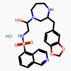 Cl.O=S(=O)(NCC(O)N1CCCNC(Cc2ccc3c(c2)OCO3)C1)c1cccc2cnccc12